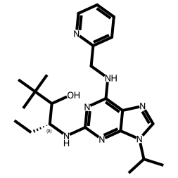 CC[C@@H](Nc1nc(NCc2ccccn2)c2ncn(C(C)C)c2n1)C(O)C(C)(C)C